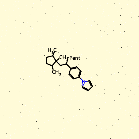 CCCCCC(CC1(C)C(C)CCC1C)c1ccc(-n2cccc2)cc1